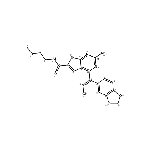 COCCNC(=O)c1cc2c(C(=NO)c3ccc4c(c3)OCO4)nc(N)nc2s1